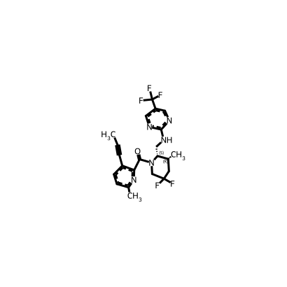 CC#Cc1ccc(C)nc1C(=O)N1CC(F)(F)C[C@@H](C)[C@H]1CNc1ncc(C(F)(F)F)cn1